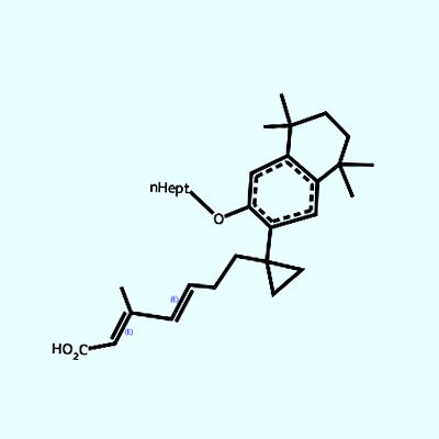 CCCCCCCOc1cc2c(cc1C1(CC/C=C/C(C)=C/C(=O)O)CC1)C(C)(C)CCC2(C)C